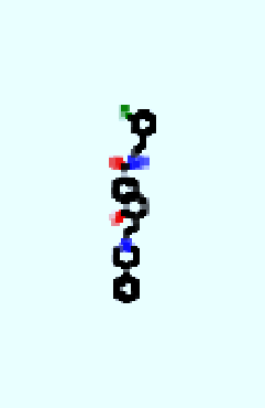 O=C(NCCc1cccc(F)c1)c1ccc2c(c1)CCC(CCN1CCC(c3ccccc3)CC1)C2=O